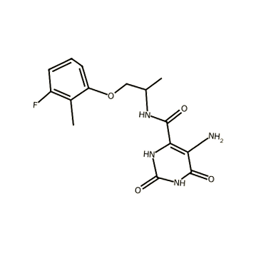 Cc1c(F)cccc1OCC(C)NC(=O)c1[nH]c(=O)[nH]c(=O)c1N